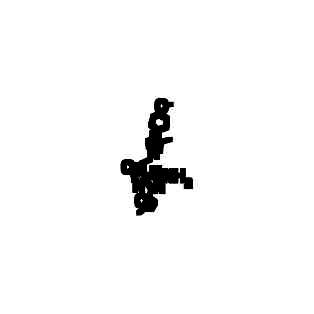 COc1ccc(N2CCN(CCn3c(=O)cnc4c(-c5ccc(C)o5)nc(N)nc43)CC2C)cc1